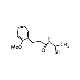 COc1ccccc1CCC(=O)NC(C)S